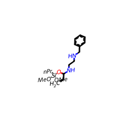 C=CC(NCCNCc1ccccc1)O[Si](CCC)(OC)OC